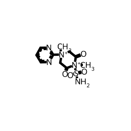 C[N+]1(c2ncccn2)CC(=O)[N+](C)(S(N)(=O)=O)C(=O)C1